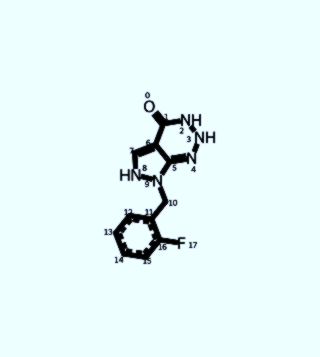 O=C1NNN=C2C1=CNN2Cc1ccccc1F